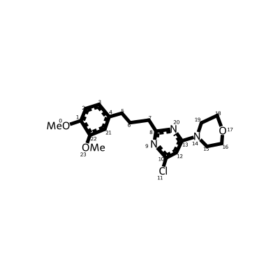 COc1ccc(CCCc2nc(Cl)cc(N3CCOCC3)n2)cc1OC